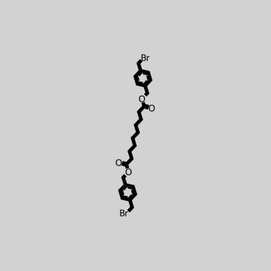 O=C(CCCCCCCCC(=O)OCc1ccc(CBr)cc1)OCc1ccc(CBr)cc1